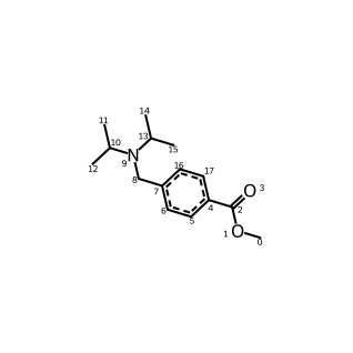 COC(=O)c1ccc(CN(C(C)C)C(C)C)cc1